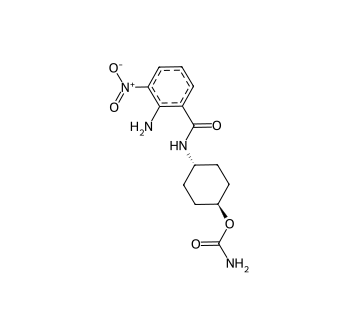 NC(=O)O[C@H]1CC[C@H](NC(=O)c2cccc([N+](=O)[O-])c2N)CC1